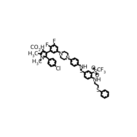 Cc1c(C(=O)O)c(-c2cc(N3CCN(c4ccc(NSc5ccc(NCCSc6ccccc6)c(S(=O)(=O)C(F)(F)F)c5)cc4)CC3)cc(F)c2F)c(-c2ccc(Cl)cc2)n1C